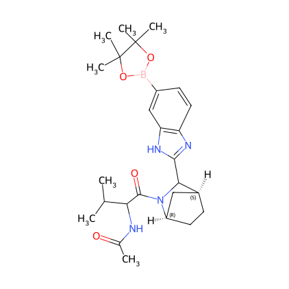 CC(=O)NC(C(=O)N1C(c2nc3ccc(B4OC(C)(C)C(C)(C)O4)cc3[nH]2)[C@H]2CC[C@@H]1C2)C(C)C